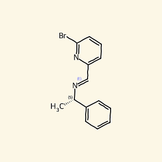 C[C@H](/N=C/c1cccc(Br)n1)c1ccccc1